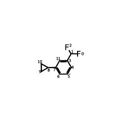 FC(F)c1c[c]cc(C2CC2)c1